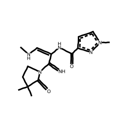 CN/C=C(/NC(=O)c1ccn(C)n1)C(=N)N1CCC(C)(C)C1=O